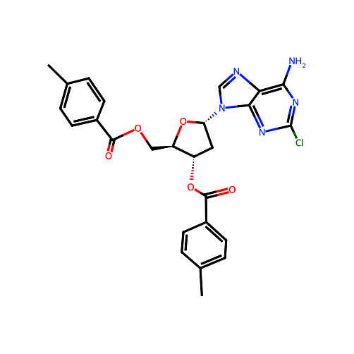 Cc1ccc(C(=O)OC[C@H]2O[C@H](n3cnc4c(N)nc(Cl)nc43)C[C@@H]2OC(=O)c2ccc(C)cc2)cc1